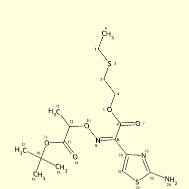 CCSCCOC(=O)C(=NOC(C)C(=O)OC(C)(C)C)c1csc(N)n1